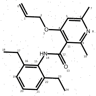 C=CCOc1cc(C)nc(C)c1C(=O)Nc1c(CC)cccc1CC